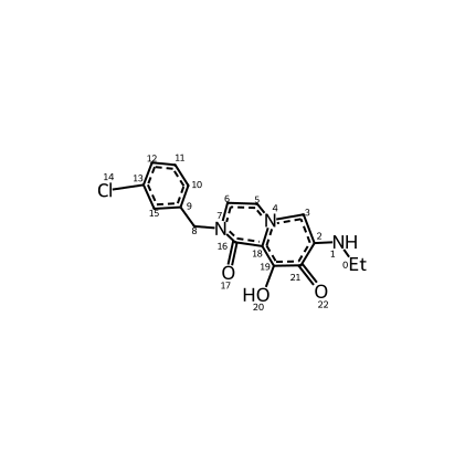 CCNc1cn2ccn(Cc3cccc(Cl)c3)c(=O)c2c(O)c1=O